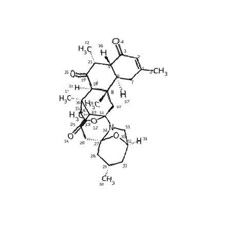 CC1=CC(=O)[C@@H]2[C@@H](C1)[C@]1(C)C[C@@]34OC(=O)C[C@@](C)([C@H]1C(=O)[C@@H]2C)[C@]3(C)CC[C@]12C[C@@H](C)C[C@H](CN14)O2